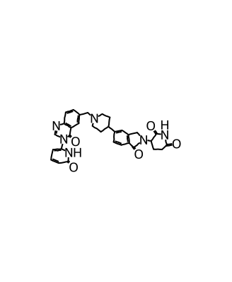 O=C1CCC(N2Cc3cc(C4CCN(Cc5ccc6ncn(-c7cccc(=O)[nH]7)c(=O)c6c5)CC4)ccc3C2=O)C(=O)N1